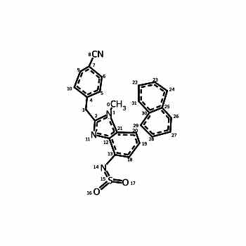 Cn1c(Cc2ccc(C#N)cc2)nc2c(N=S(=O)=O)cccc21.c1ccc2ccccc2c1